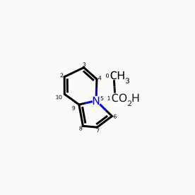 CC(=O)O.c1ccn2cccc2c1